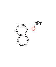 CCCOc1cc[c]c2ccccc12